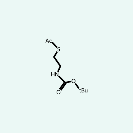 CC(=O)SCCNC(=O)OC(C)(C)C